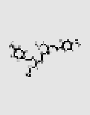 COc1ccc(/C=C/C(CSC)NCCN(/C=C/c2ccc(OC)cc2)CCSC)cc1